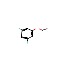 COCOc1cc(F)[c]c(F)c1